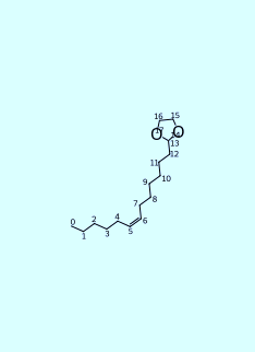 CCCCC/C=C\CCCCCCC1OCCO1